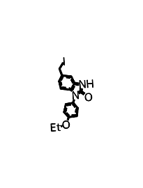 CCOc1ccc(-n2c(=O)[nH]c3cc(CI)ccc32)cc1